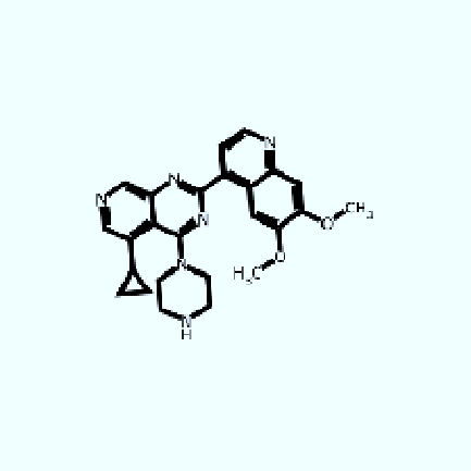 COc1cc2nccc(-c3nc(N4CCNCC4)c4c(C5CC5)cncc4n3)c2cc1OC